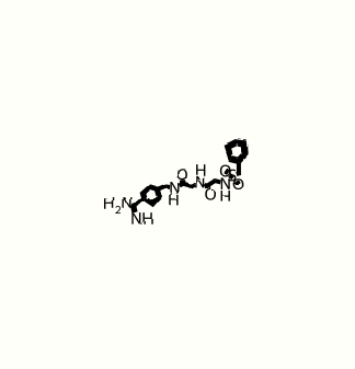 N=C(N)c1ccc(CNC(=O)CNC(=O)CNS(=O)(=O)Cc2ccccc2)cc1